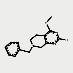 COc1nc(Cl)nc2c1CCN(Cc1ccccc1)C2